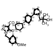 CCOC(=O)c1nnn(Cc2ccc(OC)cc2)c1O[C@H]1CC[C@H](c2ccc(-c3ccnn3CC(C)(C)O)cc2)CC1